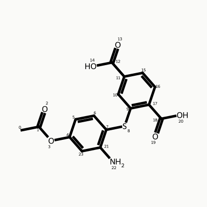 CC(=O)Oc1ccc(Sc2cc(C(=O)O)ccc2C(=O)O)c(N)c1